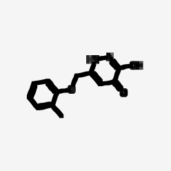 Cc1ccccc1OCc1cc(=O)c(O)n[nH]1